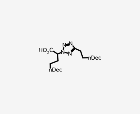 CCCCCCCCCCCCc1nnn(C(CCCCCCCCCCCC)C(=O)O)n1